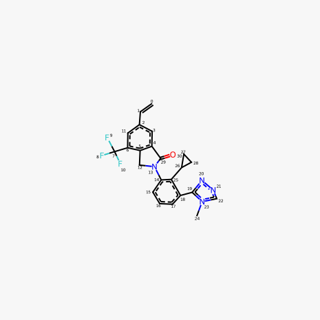 C=Cc1cc2c(c(C(F)(F)F)c1)CN(c1cccc(-c3nncn3C)c1C1CC1)C2=O